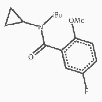 CCC(C)N(C(=O)c1cc(F)ccc1OC)C1CC1